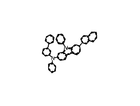 c1ccc(-c2cccc(N(c3ccccc3)c3ccc4c5ccc(-c6ccc7ccccc7c6)cc5n(-c5ccccc5)c4c3)c2)cc1